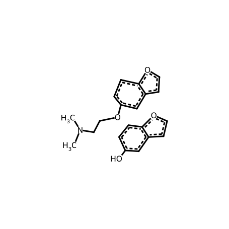 CN(C)CCOc1ccc2occc2c1.Oc1ccc2occc2c1